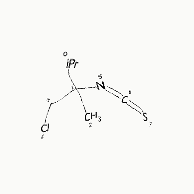 CC(C)C(C)(CCl)N=C=S